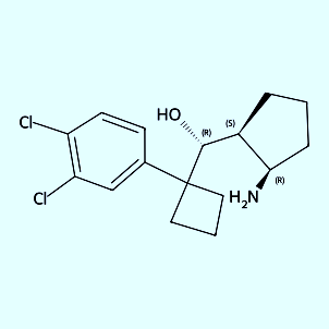 N[C@@H]1CCC[C@@H]1[C@@H](O)C1(c2ccc(Cl)c(Cl)c2)CCC1